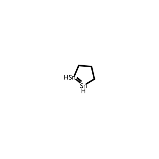 C1[CH2][SnH]=[SnH][CH2]1